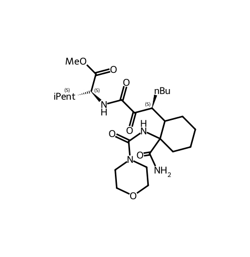 CCCC[C@H](C(=O)C(=O)N[C@H](C(=O)OC)[C@@H](C)CCC)C1CCCCC1(NC(=O)N1CCOCC1)C(N)=O